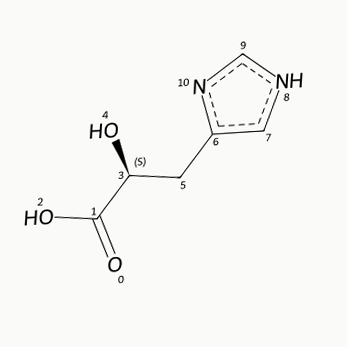 O=C(O)[C@@H](O)Cc1c[nH]cn1